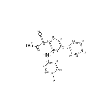 Cc1ccc(Nc2cc(-c3ccccc3)ccc2C(=O)OC(C)(C)C)cc1